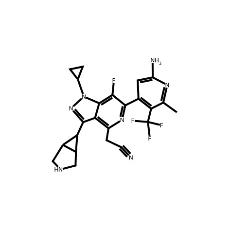 Cc1nc(N)cc(-c2nc(CC#N)c3c(C4C5CNCC54)nn(C4CC4)c3c2F)c1C(F)(F)F